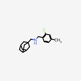 Cc1ccc(CNCC23CC4CC(C2)C(C4)C3)c(F)c1